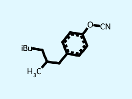 CCC(C)CC(C)Cc1ccc(OC#N)cc1